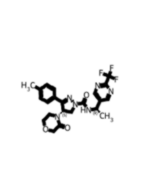 Cc1ccc(C2=NN(C(=O)N[C@H](C)c3cnc(C(F)(F)F)nc3)C[C@@H]2N2CCOCC2=O)cc1